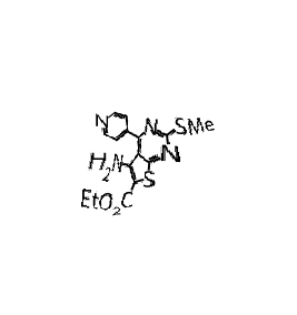 CCOC(=O)c1sc2nc(SC)nc(-c3ccncc3)c2c1N